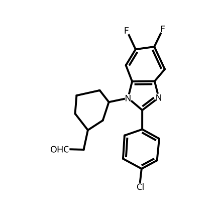 O=CCC1CCCC(n2c(-c3ccc(Cl)cc3)nc3cc(F)c(F)cc32)C1